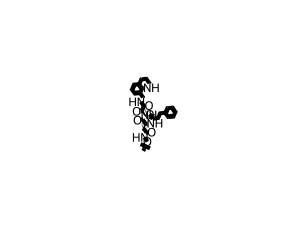 CO[C@H](NC(=O)[C@H](CC(=O)NOC(C)(C)C)NC(=O)CCc1ccccc1)C(=O)NCc1cccc2c1NCCC2